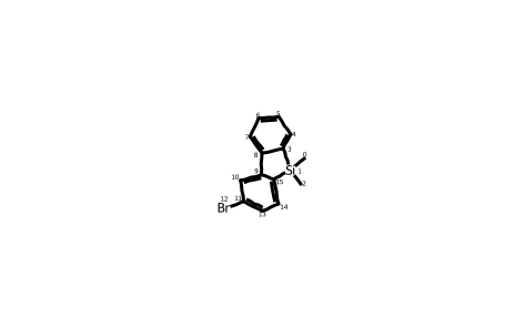 C[Si]1(C)c2ccccc2-c2cc(Br)ccc21